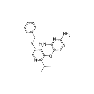 CC(C)c1ncc(SCc2ccccc2)cc1Oc1cnc(N)nc1N